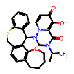 C[C@@H](N1CN([C@@H]2c3ccccc3SCc3ccc4c(c32)OCCCC4)n2ccc(=O)c(O)c2C1=O)C(F)(F)F